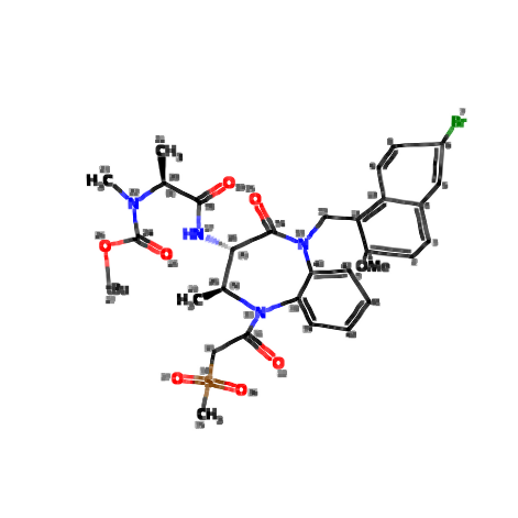 COc1ccc2cc(Br)ccc2c1CN1C(=O)[C@@H](NC(=O)[C@H](C)N(C)C(=O)OC(C)(C)C)[C@H](C)N(C(=O)CS(C)(=O)=O)c2ccccc21